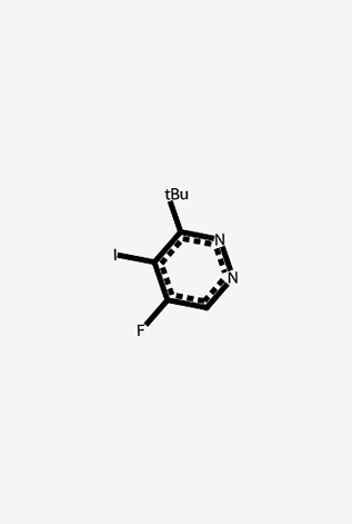 CC(C)(C)c1nncc(F)c1I